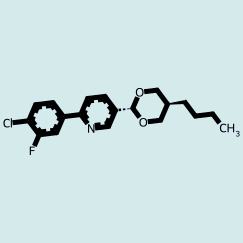 CCCC[C@H]1CO[C@H](c2ccc(-c3ccc(Cl)c(F)c3)nc2)OC1